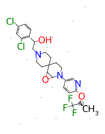 C[C@H](Oc1ccc(N2CCC3(CCN(CC(O)c4ccc(Cl)cc4Cl)CC3)C3OC32)cn1)C(F)(F)F